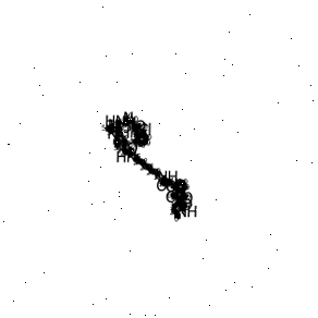 C=C1CCC(N2C(=O)c3cccc(OCC(=O)NCCCCCCCCNC(=O)CN4CCN(c5cc(Nc6ncc(C(=O)Nc7c(C)cccc7Cl)s6)nc(C)n5)CC4)c3C2=O)C(=O)N1